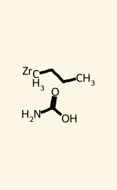 CCCC.NC(=O)O.[Zr]